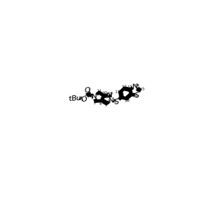 CC(C)(C)OC(=O)N1Cc2cn(Sc3ccc4ncsc4c3)nc2C1